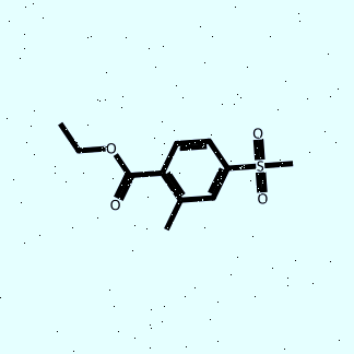 CCOC(=O)c1ccc(S(C)(=O)=O)cc1C